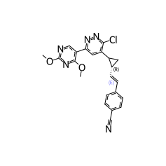 COc1ncc(-c2cc(C3C[C@@H]3/C=C/c3ccc(C#N)cc3)c(Cl)nn2)c(OC)n1